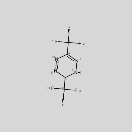 FC(F)(F)C1=NNC(C(F)(F)F)N=N1